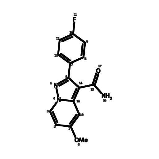 COc1ccn2nc(-c3ccc(F)cc3)c(C(N)=O)c2c1